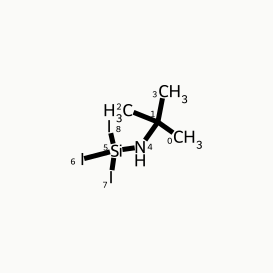 CC(C)(C)N[Si](I)(I)I